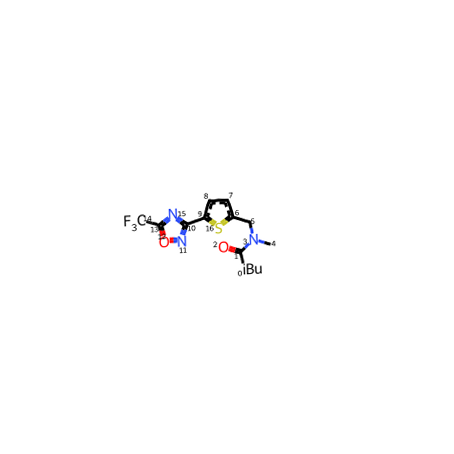 CCC(C)C(=O)N(C)Cc1ccc(-c2noc(C(F)(F)F)n2)s1